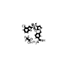 CN([C@H]1CCN(Cc2cccc(C(=N)N)c2)C1=O)S(=O)(=O)c1cc2c(Cl)cccc2s1.O=C(O)C(F)(F)F